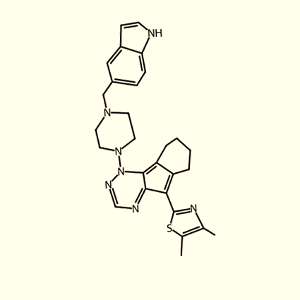 Cc1nc(-c2c3ncnn(N4CCN(Cc5ccc6[nH]ccc6c5)CC4)c-3c3c2CCCC3)sc1C